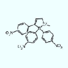 C[O+]1CC=C(c2ccc([N+](=O)[O-])cc2)[B-]1(c1ccc([N+](=O)[O-])cc1)c1ccc([N+](=O)[O-])cc1